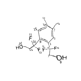 Cc1cc(C(F)(F)CO)c(C(F)(F)CO)cc1C